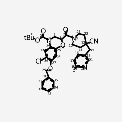 CC(C)(C)OC(=O)N1CC(C(=O)N2CCC(C#N)(Cc3ccc(F)nc3)CC2)Oc2cc(OCc3ccccc3)c(Cl)cc21